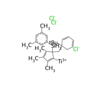 CC1=C(C)C(CC2(C(C)(C)C)C=CC=CC2)([SiH2]c2cc(C)cc(C)c2)[C]([Ti+3])=C1C.[Cl-].[Cl-].[Cl-]